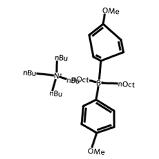 CCCCCCCC[B-](CCCCCCCC)(c1ccc(OC)cc1)c1ccc(OC)cc1.CCCC[N+](CCCC)(CCCC)CCCC